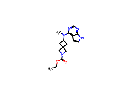 CCOC(=O)N1CC2(CC(N(C)c3ncnc4[nH]ccc34)C2)C1